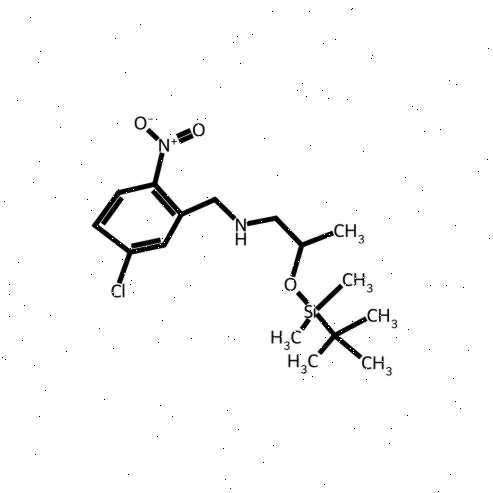 CC(CNCc1cc(Cl)ccc1[N+](=O)[O-])O[Si](C)(C)C(C)(C)C